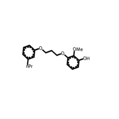 CCCc1cccc(OCCCOc2cccc(O)c2OC)c1